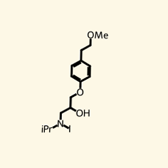 COCCc1ccc(OCC(O)CN(I)C(C)C)cc1